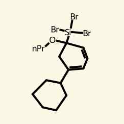 CCCOC1([Si](Br)(Br)Br)C=CC=C(C2CCCCC2)C1